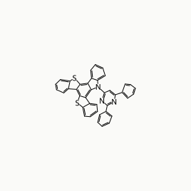 c1ccc(-c2cc(-n3c4ccccc4c4c5sc6ccccc6c5c5sc6ccccc6c5c43)nc(-c3ccccc3)n2)cc1